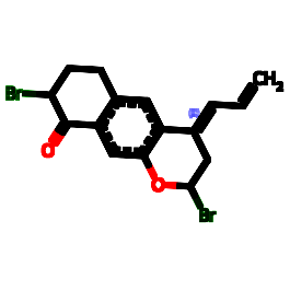 C=C/C=C1\CC(Br)Oc2cc3c(cc21)CCC(Br)C3=O